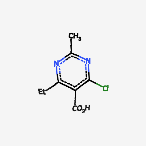 CCc1nc(C)nc(Cl)c1C(=O)O